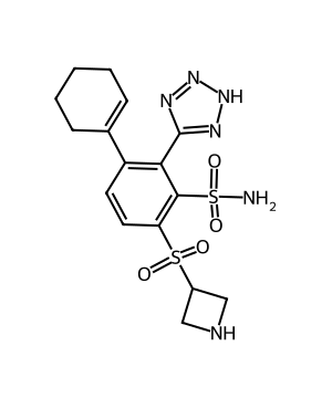 NS(=O)(=O)c1c(S(=O)(=O)C2CNC2)ccc(C2=CCCCC2)c1-c1nn[nH]n1